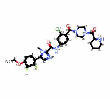 Cn1c(-c2ccc(OCC#N)c(F)c2F)cnc1C(=O)Nc1ccc(C(=O)N2CCN(C(=O)C3CCCCN3)CC2)c(Cl)c1